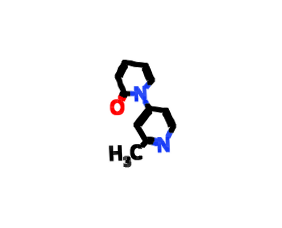 Cc1cc(-n2ccccc2=O)ccn1